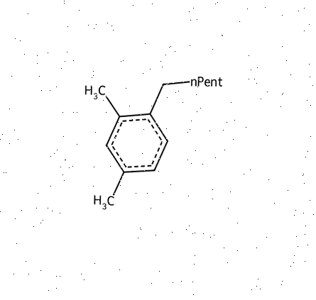 [CH2]CCCCCc1ccc(C)cc1C